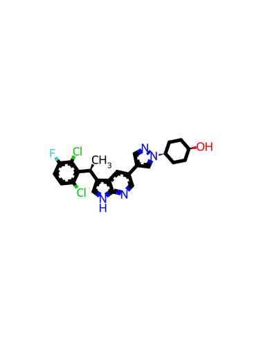 C[C@H](c1c(Cl)ccc(F)c1Cl)c1c[nH]c2ncc(-c3cnn([C@H]4CC[C@H](O)CC4)c3)cc12